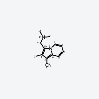 Cc1c(C#N)c2ccccn2c1CN(C)C